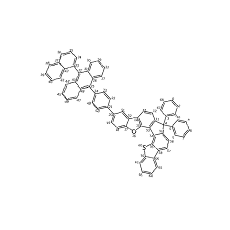 c1ccc(C2(c3ccccc3)c3ccc4c(oc5ccc(-c6ccc(-c7c8ccccc8c(-c8cccc9ccccc89)c8ccccc78)cc6)cc54)c3-c3c2ccc2c3sc3ccccc32)cc1